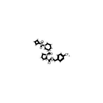 O=C(NCc1ccc(C(F)(F)F)cc1)[C@H]1CCCN1C(=O)[C@H]1CCCN(S(=O)(=O)C2CCC2)C1